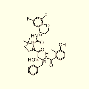 Cc1c(O)cccc1C(=O)N[C@@H](Cc1ccccc1)[C@H](O)C(=O)N1CSC(C)(C)[C@H]1C(=O)N[C@H]1CCOc2c(F)cc(F)cc21